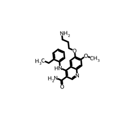 CCc1ccccc1Nc1c(C(N)=O)cnc2cc(OC)c(OCCCN)cc12